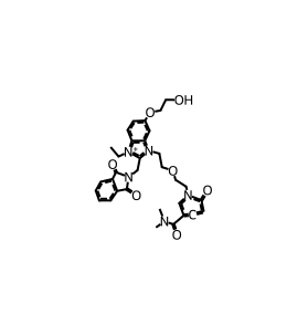 CC[n+]1c(CN2C(=O)c3ccccc3C2=O)n(CCOCCn2cc(C(=O)N(C)C)ccc2=O)c2cc(OCCO)ccc21